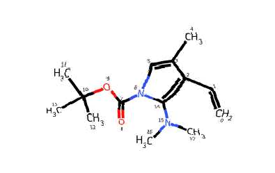 C=Cc1c(C)cn(C(=O)OC(C)(C)C)c1N(C)C